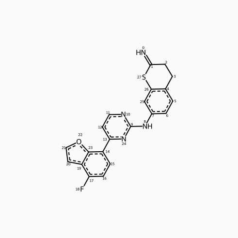 N=C1CCc2ccc(Nc3nccc(-c4ccc(F)c5ccoc45)n3)cc2S1